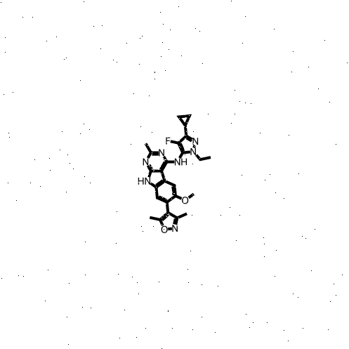 CCn1nc(C2CC2)c(F)c1Nc1nc(C)nc2[nH]c3cc(-c4c(C)noc4C)c(OC)cc3c12